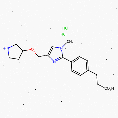 Cl.Cl.Cn1cc(COC2CCNC2)nc1-c1ccc(CCC(=O)O)cc1